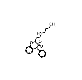 CCCCNCCC1Oc2ccccc2N(c2ccccc2)S1(=O)=O